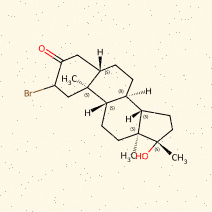 C[C@]12CC(Br)C(=O)C[C@@H]1CC[C@@H]1[C@@H]2CC[C@@]2(C)[C@H]1CC[C@]2(C)O